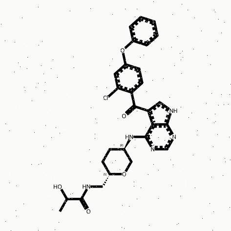 CC(O)C(=O)NC[C@@H]1CC[C@@H](Nc2ncnc3[nH]cc(C(=O)c4ccc(Oc5ccccc5)cc4Cl)c23)CO1